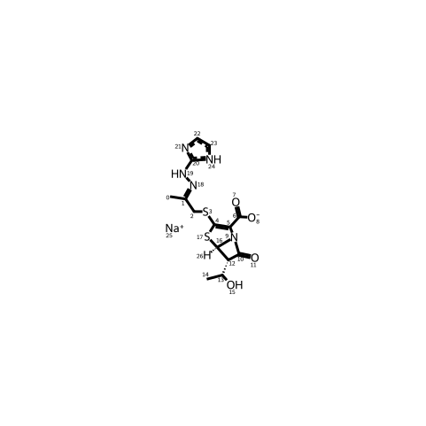 CC(CSC1=C(C(=O)[O-])N2C(=O)[C@H](C(C)O)[C@H]2S1)=NNc1ncc[nH]1.[Na+]